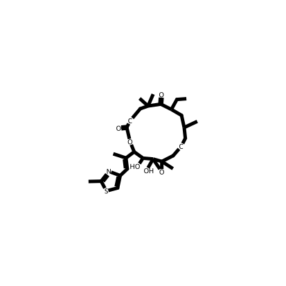 CCC1CC(C)CCCC2(C)OC2(O)C(O)C(C(C)=Cc2csc(C)n2)OC(=O)CCC(C)(C)C1=O